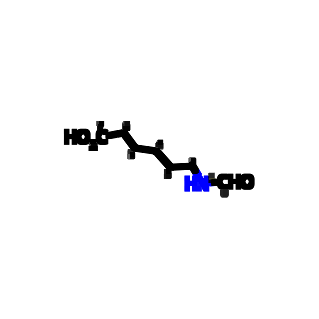 O=CNCCCCCC(=O)O